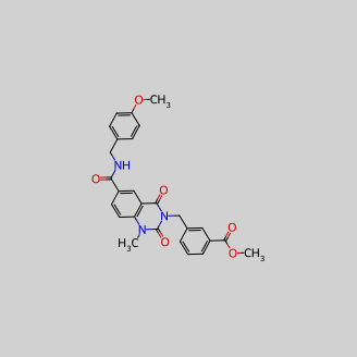 COC(=O)c1cccc(Cn2c(=O)c3cc(C(=O)NCc4ccc(OC)cc4)ccc3n(C)c2=O)c1